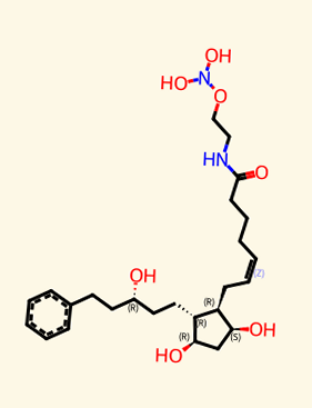 O=C(CCC/C=C\C[C@@H]1[C@@H](CC[C@@H](O)CCc2ccccc2)[C@H](O)C[C@@H]1O)NCCON(O)O